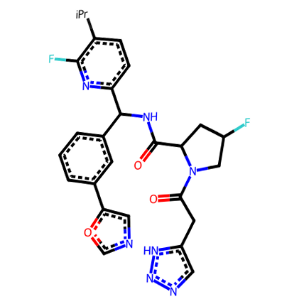 CC(C)c1ccc(C(NC(=O)C2CC(F)CN2C(=O)Cc2cnn[nH]2)c2cccc(-c3cnco3)c2)nc1F